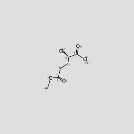 COC(=O)CC[C@@H](Cl)C(=O)Cl